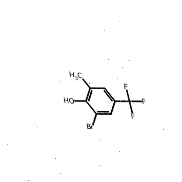 Cc1cc(C(F)(F)F)cc(Br)c1O